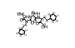 CCC(C)[C@@H](NC(=O)N(CCc1ccccc1)C(=O)OC(C)(C)C)C(=O)NC(CCc1ccccc1)C(=O)CO